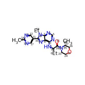 CC[C@@H](Nc1ncnc2c1nc(-c1cnc(C)nc1)n2CC)C(=O)N1CCOC[C@H]1C